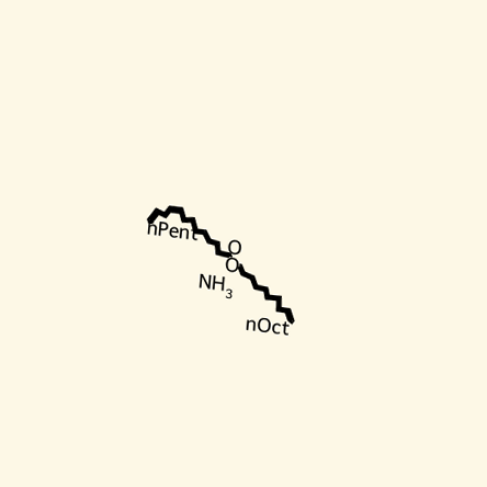 CCCCC/C=C\C/C=C\CCCCCCCC(=O)OCCCCCCCC/C=C\CCCCCCCC.N